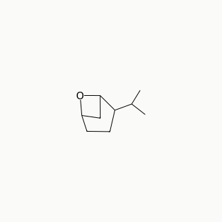 CC(C)C1CCC2CC1O2